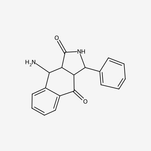 NC1c2ccccc2C(=O)C2C(c3ccccc3)NC(=O)C12